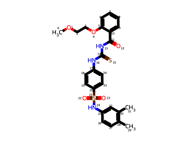 COCCOc1ccccc1C(=O)NC(=S)Nc1ccc(S(=O)(=O)Nc2ccc(C)c(C)c2)cc1